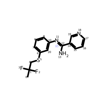 CC(F)(F)CSc1cccc(/N=C(\N)c2cccnc2)c1